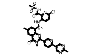 Cc1cc([C@@H](C)Nc2ccc(Cl)nc2C(=O)NS(C)(=O)=O)c2nc(-c3ccc(-c4cnc(C)nc4)nc3)n(C)c(=O)c2c1